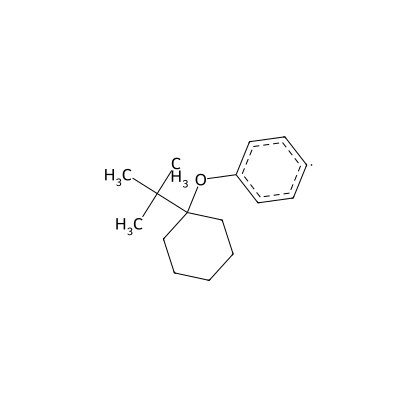 CC(C)(C)C1(Oc2cc[c]cc2)CCCCC1